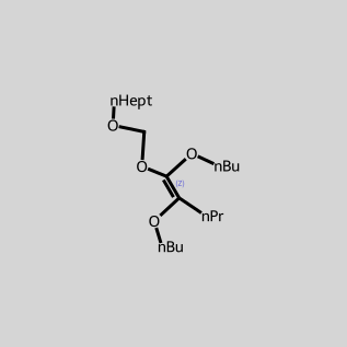 CCCCCCCOCO/C(OCCCC)=C(/CCC)OCCCC